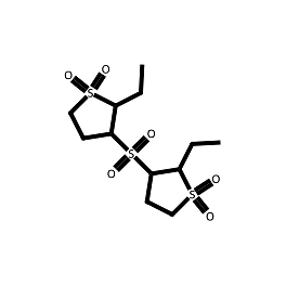 CCC1C(S(=O)(=O)C2CCS(=O)(=O)C2CC)CCS1(=O)=O